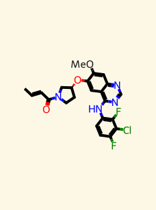 C/C=C/C(=O)N1CC[C@H](Oc2cc3c(Nc4ccc(F)c(Cl)c4F)ncnc3cc2OC)C1